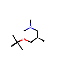 C[C@@H](COC(C)(C)C)CN(C)C